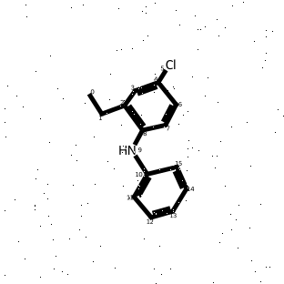 CCc1cc(Cl)ccc1Nc1ccccc1